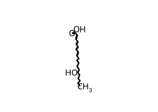 CCCCCC(O)CCCCC/C=C/C=C/C=C/C=C/C(=O)O